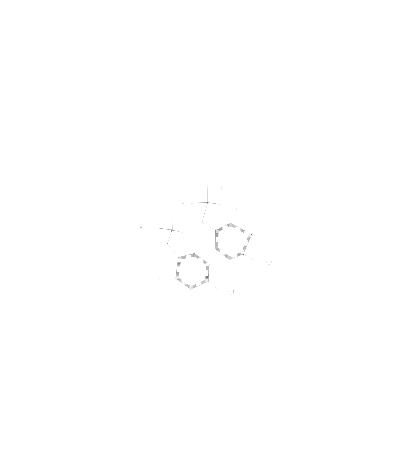 COc1ccc(CC(C)(C)C(=O)[O-])cc1.COc1ccc(CC(C)(C)C(=O)[O-])cc1.[Zn+2]